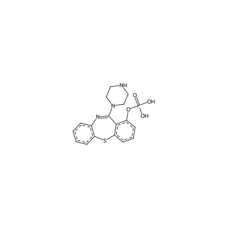 O=P(O)(O)Oc1cccc2c1C(N1CCNCC1)=Nc1ccccc1S2